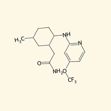 CC1CCC(Nc2cc(OC(F)(F)F)ccn2)C(CC(N)=O)C1